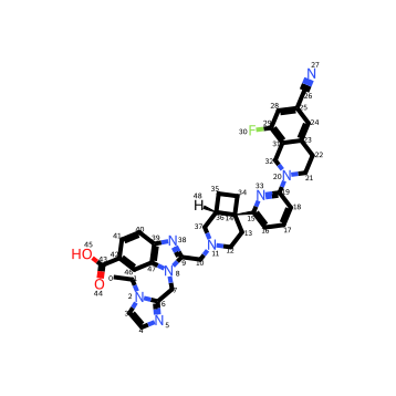 CCn1ccnc1Cn1c(CN2CC[C@@]3(c4cccc(N5CCc6cc(C#N)cc(F)c6C5)n4)CC[C@H]3C2)nc2ccc(C(=O)O)cc21